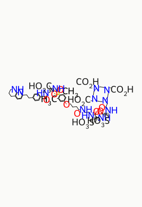 Cc1cc(OCCCC(=O)NCCNC(=O)[C@H](CS(=O)(=O)O)NC(=O)[C@H](CS(=O)(=O)O)NC(=O)CN2CCN(CC(=O)O)CCN(CC(=O)O)CCN(CC(=O)O)CC2)cc(C)c1S(=O)(=O)N[C@@H](CNC(=O)c1ccc(CCc2ccc3c(n2)NCCC3)cc1)C(=O)O